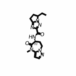 CCC1CCc2nc(C(=O)N[C@H]3CCn4nccc4N(C)C3=O)nn21